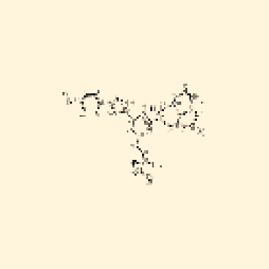 CNc1ccc(-c2c[nH]c([C@H](CCCCC(F)(F)C(C)=O)NC(=O)/C=C/c3cc(Cl)ccc3N(N)/C=N\N)n2)cc1